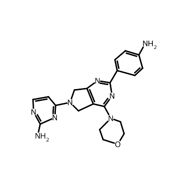 Nc1ccc(-c2nc3c(c(N4CCOCC4)n2)CN(c2ccnc(N)n2)C3)cc1